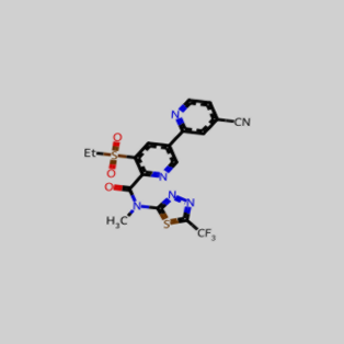 CCS(=O)(=O)c1cc(-c2cc(C#N)ccn2)cnc1C(=O)N(C)c1nnc(C(F)(F)F)s1